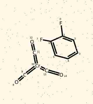 Fc1ccccc1F.O=[C]=[Cr](=[C]=O)=[C]=O